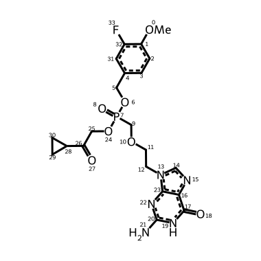 COc1ccc(COP(=O)(COCCn2cnc3c(=O)[nH]c(N)nc32)OCC(=O)C2CC2)cc1F